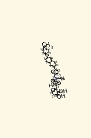 CN1CCN(c2ccc3cc(-c4ccc(/C=C(\C#N)S(=O)(=O)NC[C@H]5OCC[C@@H](O)[C@@H]5O)o4)ccc3c2)CC1